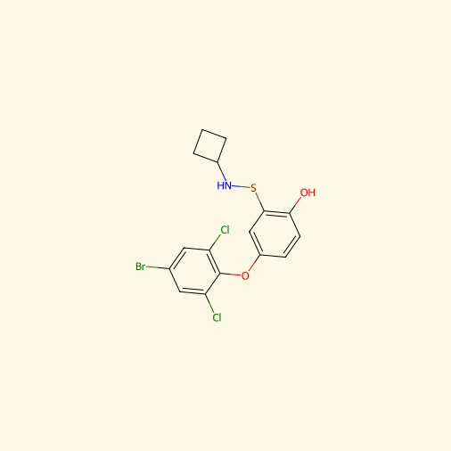 Oc1ccc(Oc2c(Cl)cc(Br)cc2Cl)cc1SNC1CCC1